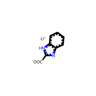 O=C([O-])c1nc2ccccc2[nH]1.[Li+]